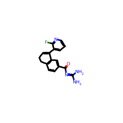 NC(N)=NC(=O)c1ccc2c(c1)C(c1cccnc1F)=CCC2